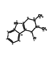 CC(C)C1c2c([nH]c3ccccc23)CN(C)N1C